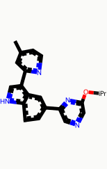 Cc1ccnc(-c2c[nH]c3ccc(-c4cncc(OC(C)C)n4)cc23)c1